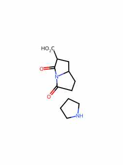 C1CCNC1.O=C(O)C1CC2CCC(=O)N2C1=O